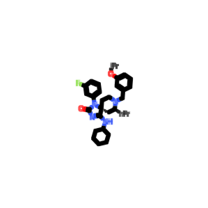 CCC[C@H]1C[C@]2(CCN1Cc1cccc(OC(C)C)c1)C(NC1CCCCC1)=NC(=O)N2c1cccc(F)c1